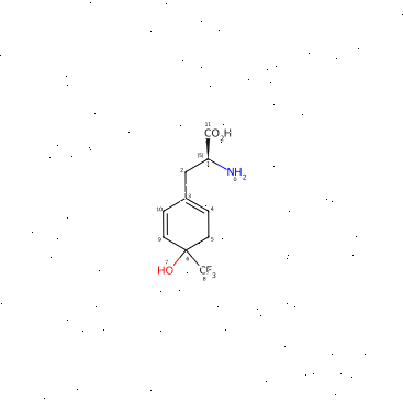 N[C@@H](CC1=CCC(O)(C(F)(F)F)C=C1)C(=O)O